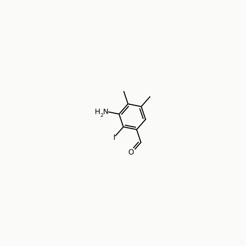 Cc1cc(C=O)c(I)c(N)c1C